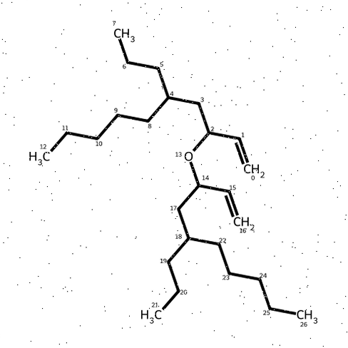 C=CC(CC(CCC)CCCCC)OC(C=C)CC(CCC)CCCCC